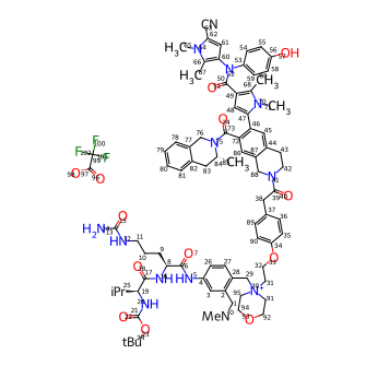 CNCc1cc(NC(=O)[C@H](CCCNC(N)=O)NC(=O)[C@@H](NC(=O)OC(C)(C)C)C(C)C)ccc1C[N+]1(CCOc2ccc(CC(=O)N3CCc4cc(-c5cc(C(=O)N(c6ccc(O)cc6)c6cc(C#N)n(C)c6C)c(C)n5C)c(C(=O)N5Cc6ccccc6C[C@H]5C)cc4C3)cc2)CCOCC1.O=C([O-])C(F)(F)F